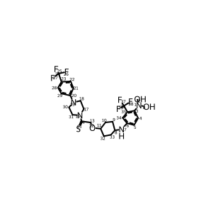 ON(O)c1ccc(NC2CCC(OCC(=S)N3CCN(c4ccc(C(F)(F)F)cc4)CC3)CC2)cc1C(F)(F)F